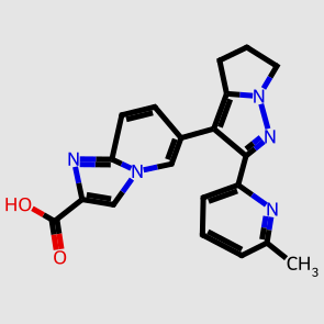 Cc1cccc(-c2nn3c(c2-c2ccc4nc(C(=O)O)cn4c2)CCC3)n1